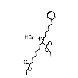 Br.CCOC(=O)CCCCCCC(NCCCCCc1ccccc1)C(=O)OCC